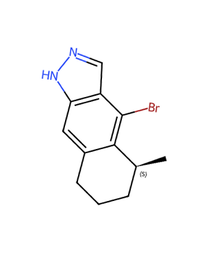 C[C@H]1CCCc2cc3[nH]ncc3c(Br)c21